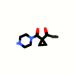 COC(=O)C1(C(=O)N2CCNCC2)CC1